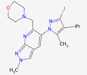 Cc1c(C(C)C)c(I)nn1-c1cc2cn(C)nc2nc1CN1CCOCC1